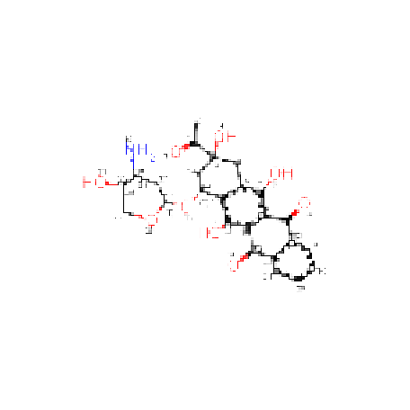 CC(=O)[C@]1(O)Cc2c(O)c3c(c(O)c2[C@@H](O[C@H]2C[C@H](N)[C@H](O)CO2)C1)C(=O)c1ccccc1C3=O